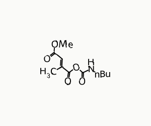 CCCCNC(=O)OC(=O)/C(C)=C/C(=O)OC